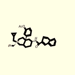 CC(=O)Oc1cccc([C@]23CC[N@+](CC(C)C)(CC4CC4)CC2CC[C@@H](NC(=O)c2ccc4ccccc4c2)C3)c1